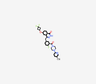 N#Cc1ccc(N2CCN(C(=O)c3cc(Cc4n[nH]c(=O)c5ccc(OC6CC(F)(F)C6)cc45)ccc3F)CC2)nc1